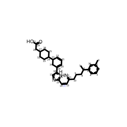 Cc1cccc(C(C)CCCC(=N)/C=C\c2ncc(C3=CC=CC(C4CCC(CC(=O)O)CC4)C3)[nH]2)c1